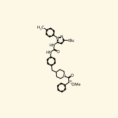 CO[C@@H](C(=O)N1CCC(Cc2ccc(NC(=O)Nc3cc(C(C)(C)C)nn3-c3ccc(C)cc3)cc2)CC1)c1ccccc1